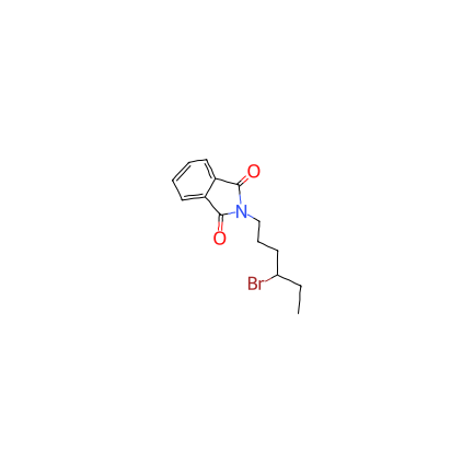 CCC(Br)CCCN1C(=O)c2ccccc2C1=O